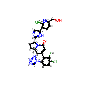 O=C1C=C(c2c(-n3cnnn3)ccc(Cl)c2F)C[C@H]2CC[C@@H](c3ncc(-c4ccc(CO)nc4Cl)[nH]3)N12